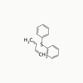 C=CC=C.c1ccc(Sc2ccccc2)cc1